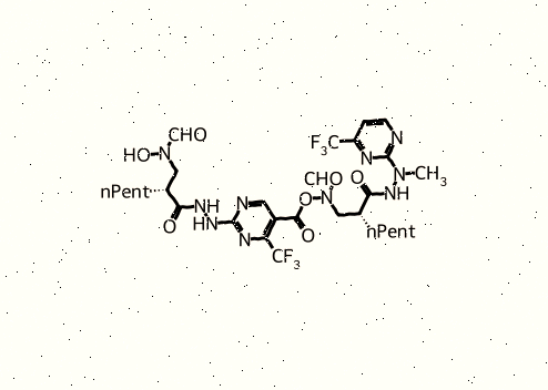 CCCCC[C@H](CN(O)C=O)C(=O)NNc1ncc(C(=O)ON(C=O)C[C@@H](CCCCC)C(=O)NN(C)c2nccc(C(F)(F)F)n2)c(C(F)(F)F)n1